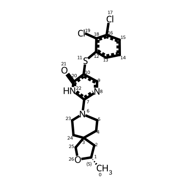 C[C@H]1CC2(CCN(c3ncc(Sc4cccc(Cl)c4Cl)c(=O)[nH]3)CC2)CO1